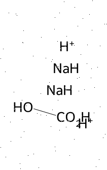 O=C(O)O.[H+].[H+].[NaH].[NaH]